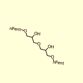 CCCCCOCC(O)COCC(O)COCCCCC